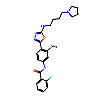 COc1cc(NC(=O)c2ccccc2F)ccc1-c1nnc(NCCCCN2CCCC2)o1